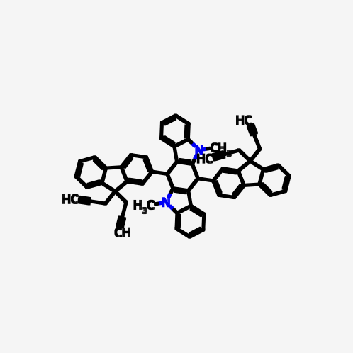 C#CCC1(CC#C)c2ccccc2-c2ccc(C3c4c(n(C)c5ccccc45)C(c4ccc5c(c4)C(CC#C)(CC#C)c4ccccc4-5)c4c3n(C)c3ccccc43)cc21